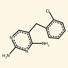 Nc1ncc(Cc2ccccc2Cl)c(N)n1